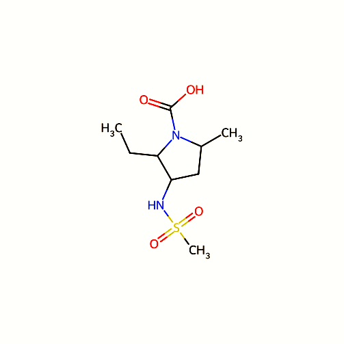 CCC1C(NS(C)(=O)=O)CC(C)N1C(=O)O